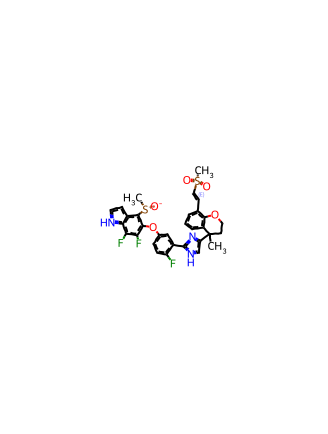 C[S+]([O-])c1c(Oc2ccc(F)c(-c3nc(C4(C)CCOc5c(/C=C/S(C)(=O)=O)cccc54)c[nH]3)c2)c(F)c(F)c2[nH]ccc12